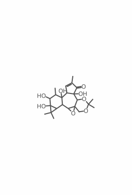 CC1=CC2C(O)(C1=O)C1OC(C)(C)OCC13OC3C1C3C(C)(C)C3(O)C(O)C(C)C12O